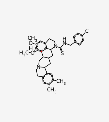 CCC1CN2CCc3cc(C)c(C)cc3C2CC1CC1c2cc(OC)c(OC)cc2CCN1C(=S)NCc1ccc(Cl)cc1